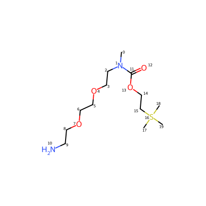 CN(CCOCCOCCN)C(=O)OCCS(C)(C)C